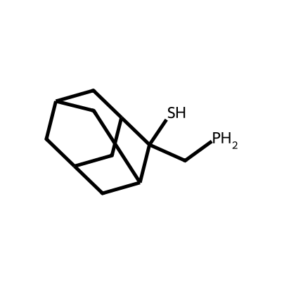 PCC1(S)C2CC3CC(C2)CC1C3